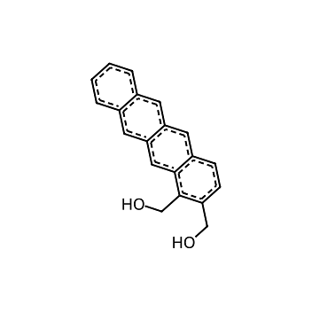 OCc1ccc2cc3cc4ccccc4cc3cc2c1CO